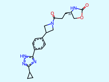 O=C1N[C@H](CCC(=O)N2CC(c3ccc(-c4nc(C5CC5)n[nH]4)cc3)C2)CO1